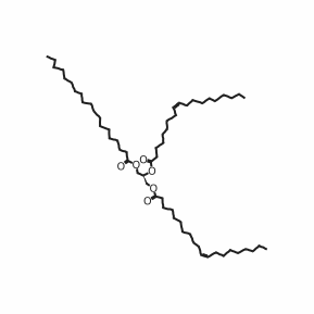 CCCCCCCC/C=C\CCCCCCCCCC(=O)OC[C@@H](COC(=O)CCCCCCCCCCCCCCCCCC)OC(=O)CCCCCCC/C=C\CCCCCCCCC